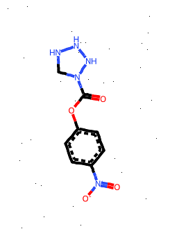 O=C(Oc1ccc([N+](=O)[O-])cc1)N1CNNN1